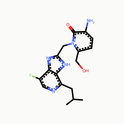 CC(C)Cc1ncc(F)c2nc(Cn3c(CO)ccc(N)c3=O)[nH]c12